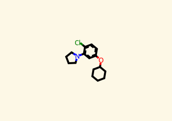 Clc1ccc(OC2CCCCC2)cc1N1CCCC1